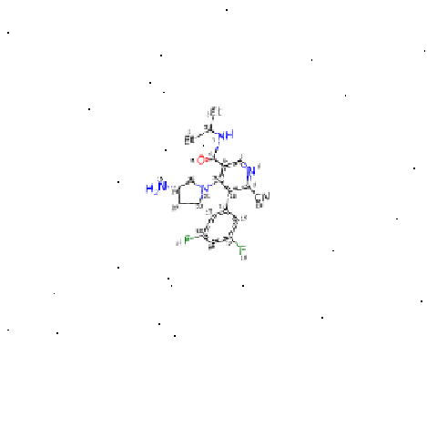 CCC(CC)NC(=O)c1cnc(C#N)c(-c2cc(F)cc(F)c2)c1N1CC[C@H](N)C1